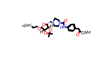 CCCCCCCCCCCCO[C@H]1O[C@H](CN2CCN(C(=O)Nc3ccc(CC(=O)OC)cc3)CC2)[C@@H]2OC(C)(C)O[C@H]12